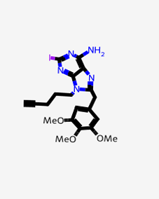 C#CCCCn1c(Cc2cc(OC)c(OC)c(OC)c2)nc2c(N)nc(I)nc21